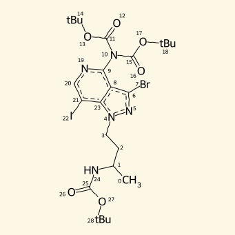 CC(CCn1nc(Br)c2c(N(C(=O)OC(C)(C)C)C(=O)OC(C)(C)C)ncc(I)c21)NC(=O)OC(C)(C)C